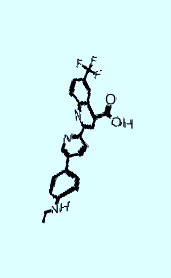 CCNc1ccc(-c2ccc(-c3cc(C(=O)O)c4cc(C(F)(F)F)ccc4n3)nc2)cc1